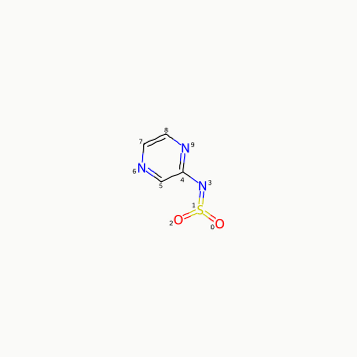 O=S(=O)=Nc1cnccn1